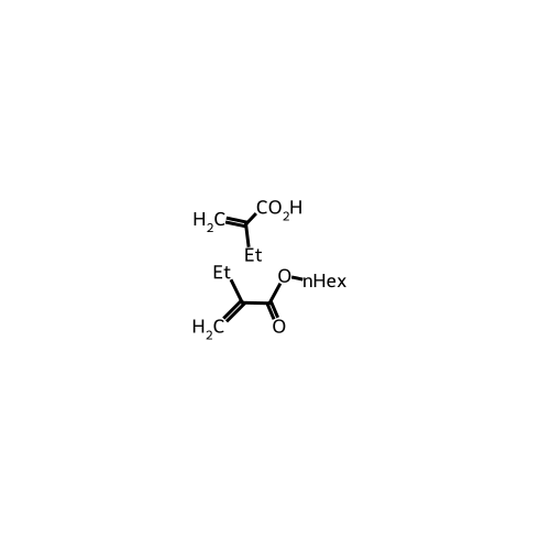 C=C(CC)C(=O)O.C=C(CC)C(=O)OCCCCCC